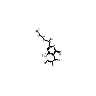 CC=C(C)C(=O)c1c(O)cc(C(C)CCCO)oc1=O